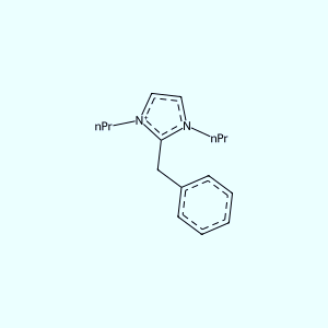 CCCn1cc[n+](CCC)c1Cc1ccccc1